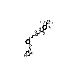 CC(C)(C)c1ccc(C(=O)NCC(=O)NCCOc2cccc(OCCN3CCNCC3=O)c2)cc1